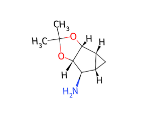 CC1(C)O[C@@H]2[C@@H]3C[C@@H]3[C@@H](N)[C@@H]2O1